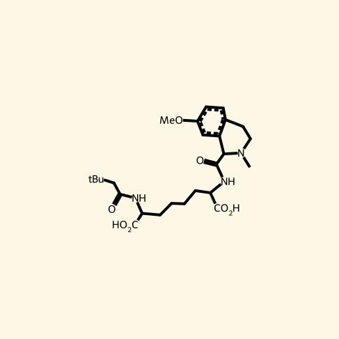 COc1ccc2c(c1)C(C(=O)NC(CCCCC(NC(=O)CC(C)(C)C)C(=O)O)C(=O)O)N(C)CC2